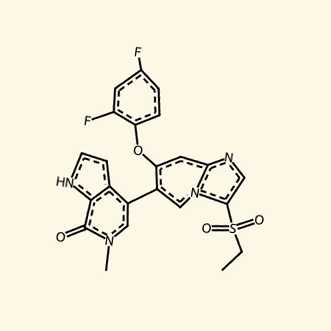 CCS(=O)(=O)c1cnc2cc(Oc3ccc(F)cc3F)c(-c3cn(C)c(=O)c4[nH]ccc34)cn12